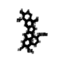 CC[C@@H]1C(=O)OCc2c1cc1n(c2=O)Cc2c-1nc1cc(F)c(C)c3c1c2C(NC(C)=O)CC3